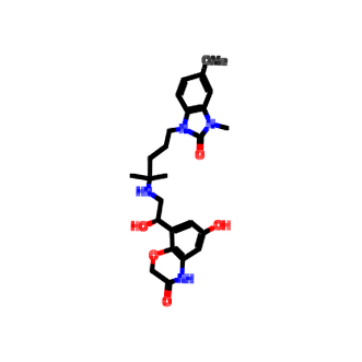 COc1ccc2c(c1)n(C)c(=O)n2CCCC(C)(C)NC[C@H](O)c1cc(O)cc2c1OCC(=O)N2